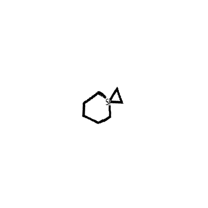 C1CC[Si]2(CC1)CC2